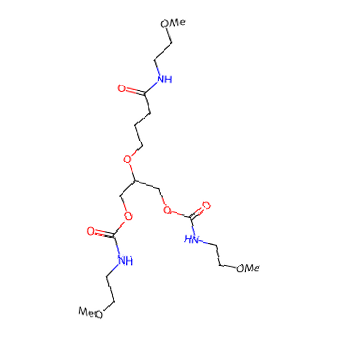 COCCNC(=O)CCCOC(COC(=O)NCCOC)COC(=O)NCCOC